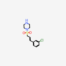 O=S(=O)(CC=Cc1cccc(Cl)c1)N1CCNCC1